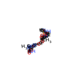 Cc1c(OC2CCC(OCCCN3CCN(c4ccc5c(C6CCC(=O)NC6=O)nn(C)c5n4)CC3)CC2)cccc1-c1ccc(N2CCc3cccc(C(=O)Nc4nc5ccccc5s4)c3C2)nc1C(=O)O